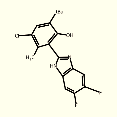 Cc1c(Cl)cc(C(C)(C)C)c(O)c1-c1nc2cc(F)c(F)cc2[nH]1